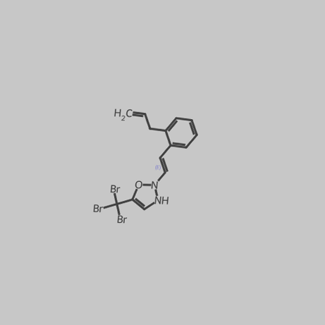 C=CCc1ccccc1/C=C/N1NC=C(C(Br)(Br)Br)O1